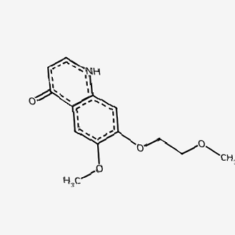 COCCOc1cc2[nH]ccc(=O)c2cc1OC